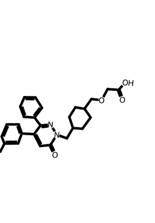 Cc1cccc(-c2cc(=O)n(CC3CCC(COCC(=O)O)CC3)nc2-c2ccccc2)c1